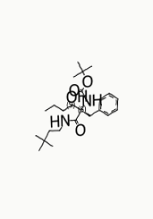 CCC[C@H](O)[C@](Cc1ccccc1)(NC(=O)OC(C)(C)C)C(=O)NCCC(C)(C)C